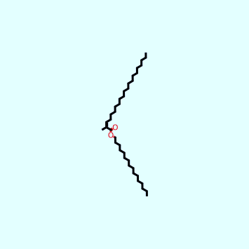 CCCCCCCCCCCCCCCCCCC=C(C)C(=O)OCCCCCCCCCCCCCCCC